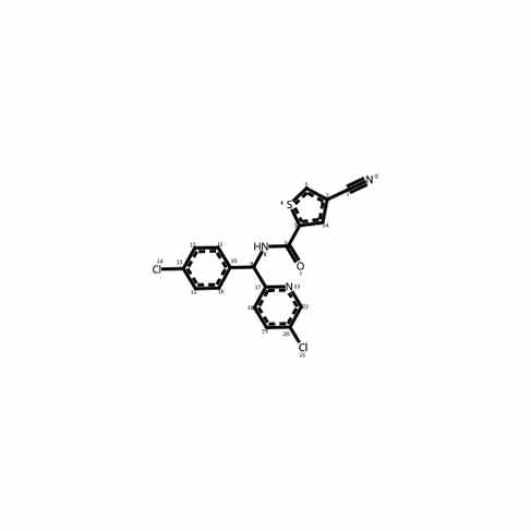 N#Cc1csc(C(=O)NC(c2ccc(Cl)cc2)c2ccc(Cl)cn2)c1